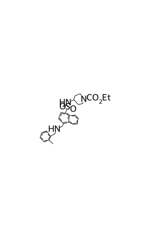 CCOC(=O)N1CCC(NS(=O)(=O)c2ccc(CNCc3ccccc3C)c3ccccc23)CC1